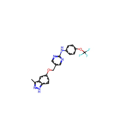 Cc1n[nH]c2ccc(OCc3cnc(Nc4ccc(OC(F)(F)F)cc4)nc3)cc12